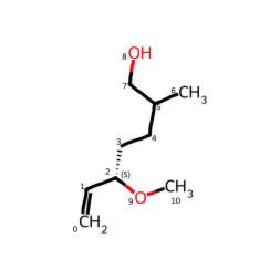 C=C[C@H](CCC(C)CO)OC